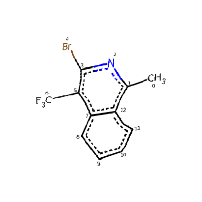 Cc1nc(Br)c(C(F)(F)F)c2ccccc12